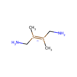 C/S(CN)=S(/C)CN